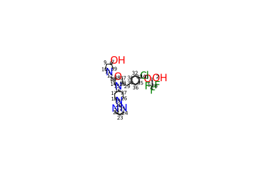 O=C(O)C(F)(F)F.OC1CCN(C[C@H]2CN(C3CCN(c4ncccn4)CC3)[C@@H](Cc3ccc(Cl)cc3)CO2)C1